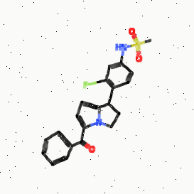 CS(=O)(=O)Nc1ccc(C2CCn3c(C(=O)c4ccccc4)ccc32)c(F)c1